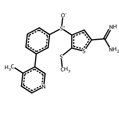 CSc1sc(C(=N)N)cc1[S+]([O-])c1cccc(-c2cnccc2C)c1